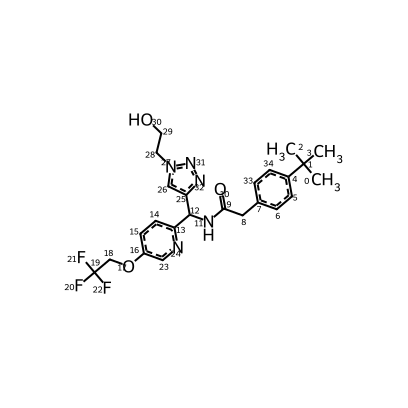 CC(C)(C)c1ccc(CC(=O)NC(c2ccc(OCC(F)(F)F)cn2)c2cn(CCO)nn2)cc1